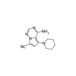 N#Cc1cc(N2CCCCC2)c2c(N)ncnn12